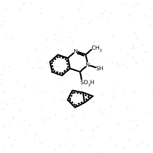 CC1=Nc2ccccc2C(S(=O)(=O)O)N1S.c1cc2cc-2c1